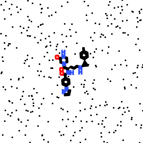 Cc1ccc([C@@H]2C[C@H]2NCCC[C@H](NC(=O)c2ccc(-n3cccn3)cc2)C(=O)N2CCNC(=O)C2)cc1